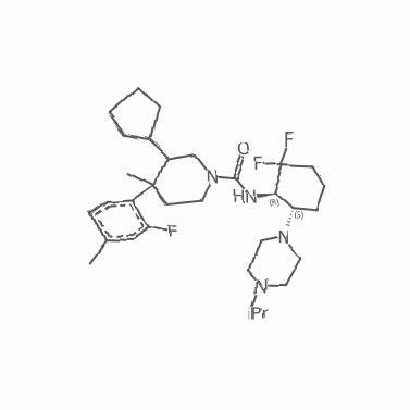 Cc1ccc(C2(C)CCN(C(=O)N[C@@H]3[C@@H](N4CCN(C(C)C)CC4)CCCC3(F)F)CC2C2CCCC2)c(F)c1